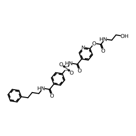 O=C(NCCO)Oc1ccc(C(=O)NS(=O)(=O)c2ccc(C(=O)NCCCc3ccccc3)cc2)cn1